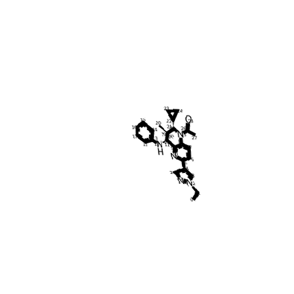 CCn1cc(-c2ccc3c(n2)[C@H](Nc2ccccc2)[C@@H](C)[C@H](C2CC2)N3C(C)=O)cn1